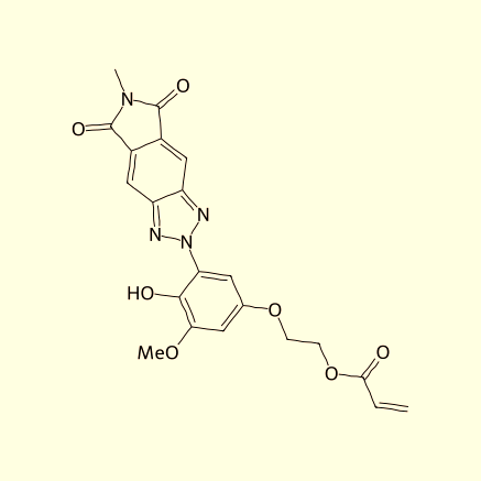 C=CC(=O)OCCOc1cc(OC)c(O)c(-n2nc3cc4c(cc3n2)C(=O)N(C)C4=O)c1